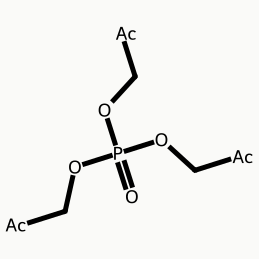 CC(=O)COP(=O)(OCC(C)=O)OCC(C)=O